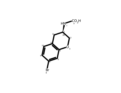 O=C(O)N[C@H]1COc2cc(Br)ccc2C1